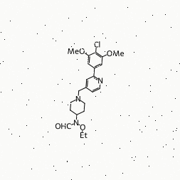 CCON(C=O)C1CCN(Cc2ccnc(-c3cc(OC)c(Cl)c(OC)c3)c2)CC1